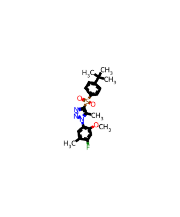 COc1cc(F)c(C)cc1-n1nnc(S(=O)(=O)c2ccc(C(C)(C)C)cc2)c1C